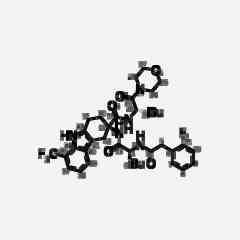 CCC(C)[C@H](NC(=O)Cc1ccccc1F)C(=O)N[C@]1(C(=O)N[C@H](C(=O)N2CCOCC2)C(C)CC)CCc2[nH]c3c(C(F)(F)F)cccc3c2C1